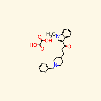 Cn1cc(C(=O)CCC2CCN(Cc3ccccc3)CC2)c2ccccc21.O=C(O)C(=O)O